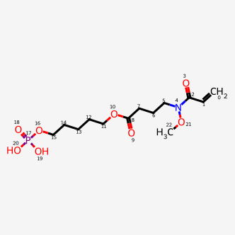 C=CC(=O)N(CCCC(=O)OCCCCCOP(=O)(O)O)OC